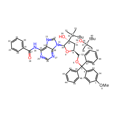 COc1ccc(C(OC[C@H]2O[C@@H](n3cnc4c(NC(=O)c5ccccc5)ncnc43)[C@@](O)([Si](C)(C)C(C)(C)C)[C@@H]2O[Si](C)(C)C(C)(C)C)(c2ccccc2)c2ccccc2)cc1